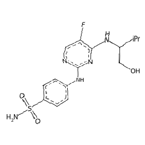 CC(C)C(CO)Nc1nc(Nc2ccc(S(N)(=O)=O)cc2)ncc1F